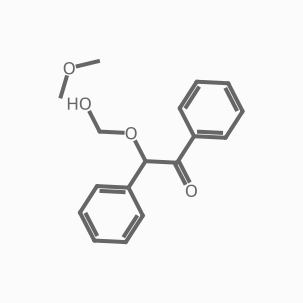 COC.O=C(c1ccccc1)C(OCO)c1ccccc1